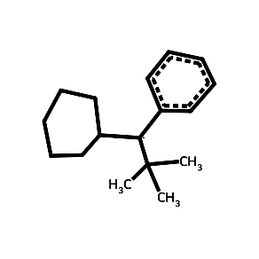 CC(C)(C)[C](c1ccccc1)C1CCCCC1